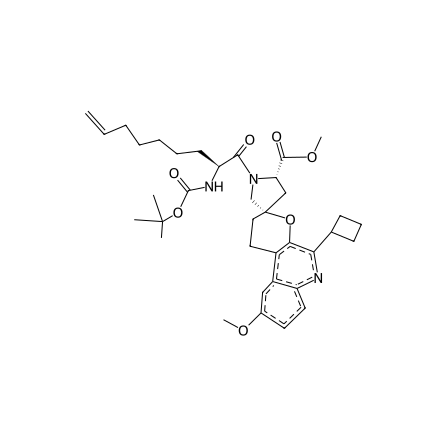 C=CCCCCC[C@H](NC(=O)OC(C)(C)C)C(=O)N1C[C@]2(CCc3c(c(C4CCC4)nc4ccc(OC)cc34)O2)C[C@H]1C(=O)OC